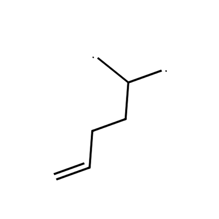 [CH2]C([CH2])CCC=C